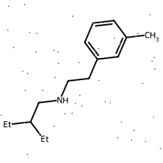 CCC(CC)CNCCc1cccc(C)c1